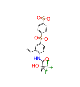 C=Cc1cc(S(=O)(=O)c2ccc(S(C)(=O)=O)cc2)ccc1NC(=O)[C@@](C)(O)C(F)(F)F